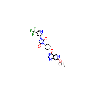 COc1cc2ncnc(O[C@H]3CC[C@H](N4C(=O)CN(c5cncc(C(F)(F)F)c5)C4=O)CC3)c2cn1